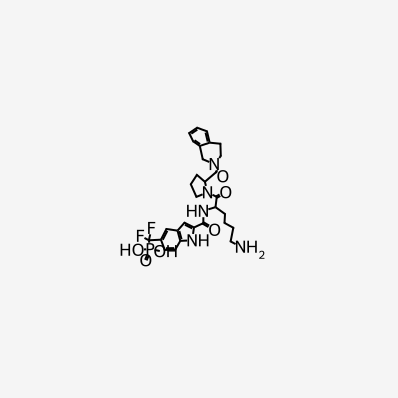 NCCCCC(NC(=O)c1cc2cc(C(F)(F)P(=O)(O)O)ccc2[nH]1)C(=O)N1CCCC1C(=O)N1CCc2ccccc2C1